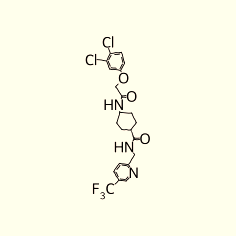 O=C(COc1ccc(Cl)c(Cl)c1)N[C@H]1CC[C@H](C(=O)NCc2ccc(C(F)(F)F)cn2)CC1